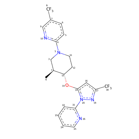 C[C@H]1CN(c2ccc(C(F)(F)F)cn2)CC[C@@H]1Oc1cc(C(F)(F)F)nn1-c1ccccn1